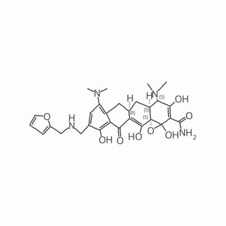 CN(C)c1cc(CNCc2ccco2)c(O)c2c1C[C@H]1C[C@H]3[C@H](N(C)C)C(O)=C(C(N)=O)C4(O)O[C@]34C(O)=C1C2=O